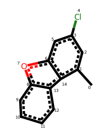 Cc1cc(Cl)cc2oc3ccccc3c12